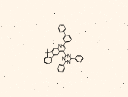 CC1(C)c2ccccc2-c2cc3c(-c4nc(-c5ccccc5)nc(-c5ccccc5)n4)cc(-c4cccc(-c5ccccc5)c4)nc3cc21